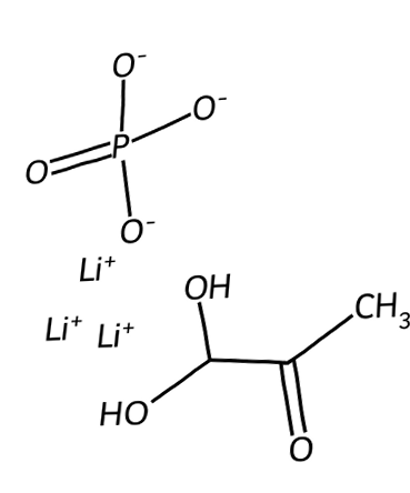 CC(=O)C(O)O.O=P([O-])([O-])[O-].[Li+].[Li+].[Li+]